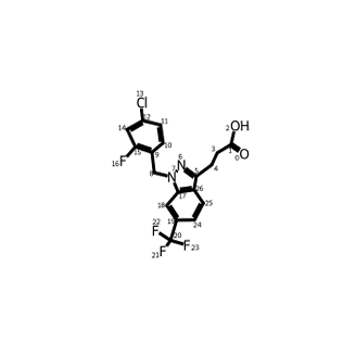 O=C(O)CCc1nn(Cc2ccc(Cl)cc2F)c2cc(C(F)(F)F)ccc12